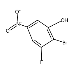 O=[N+]([O-])c1cc(O)c(Br)c(F)c1